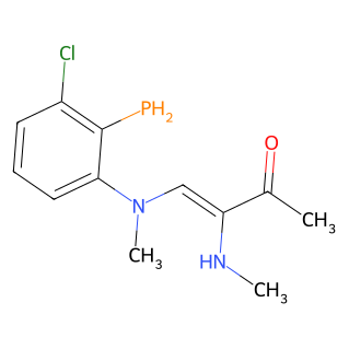 CN/C(=C\N(C)c1cccc(Cl)c1P)C(C)=O